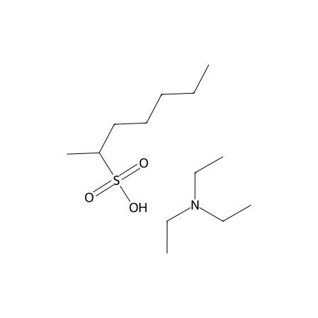 CCCCCC(C)S(=O)(=O)O.CCN(CC)CC